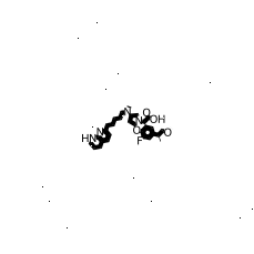 COC[C@H](C)c1cc(F)c(OC)c([C@@H](C(=O)O)N2CC[C@@H](N(C)CCCCCc3ccc4c(n3)NCCC4)C2)c1